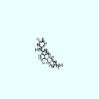 CNc1ncc2cc(-c3c(C)ccc4c(Nc5ccc(F)c(C)n5)nn(C)c34)ccc2n1